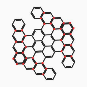 c1ccc(N(c2ccccc2)c2cc(N(c3ccccc3)c3ccccc3)c3c(N(c4ccccc4)c4ccccc4)c(N(c4ccccc4)c4ccccc4)c4c(N(c5ccccc5)c5ccccc5)cc(N(c5ccccc5)c5ccccc5)c5c(N(c6ccccc6)c6ccccc6)c(N(c6ccccc6)c6ccccc6)c2c3c54)cc1